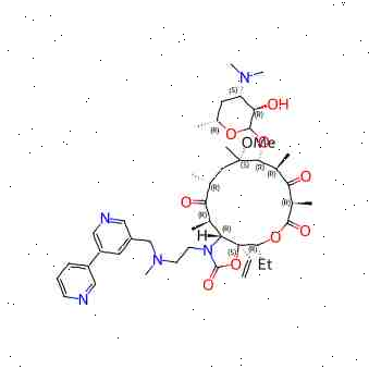 C=C[C@]12OC(=O)N(CCN(C)Cc3cncc(-c4cccnc4)c3)[C@@H]1[C@@H](C)C(=O)[C@H](C)C[C@](C)(OC)[C@H](OC1O[C@H](C)C[C@H](N(C)C)[C@H]1O)[C@@H](C)C(=O)[C@@H](C)C(=O)O[C@@H]2CC